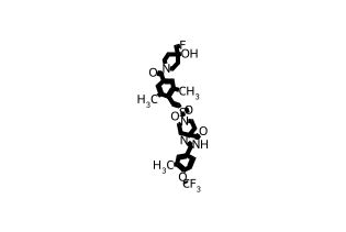 Cc1cc(C2=NC3(CCN(S(=O)(=O)C=Cc4c(C)cc(C(=O)N5CCC(O)(CF)CC5)cc4C)CC3)C(=O)N2)ccc1OC(F)(F)F